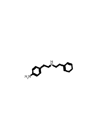 Nc1ccc(CCNCCC2=CCCC=C2)cc1